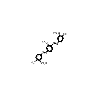 Cc1ccc(N=Nc2ccc(N=Nc3ccc(O)c(C(=O)O)c3)c(S(=O)(=O)O)c2)cc1S(=O)(=O)O